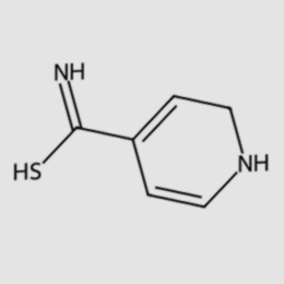 N=C(S)C1=CCNC=C1